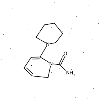 NC(=O)N1CC=CC=C1N1CCCCC1